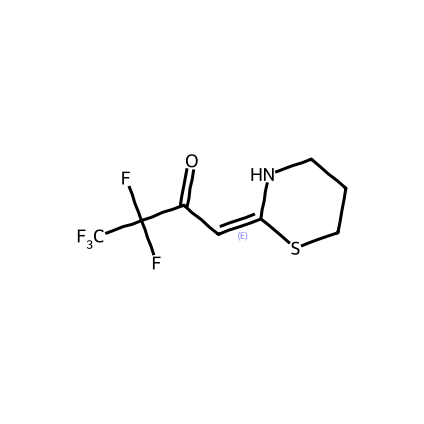 O=C(/C=C1\NCCCS1)C(F)(F)C(F)(F)F